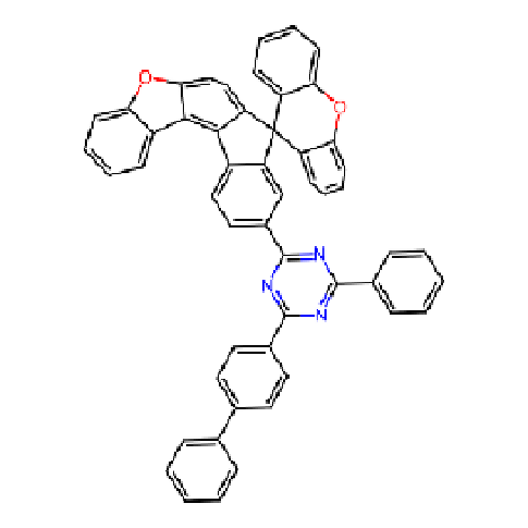 c1ccc(-c2ccc(-c3nc(-c4ccccc4)nc(-c4ccc5c(c4)C4(c6ccccc6Oc6ccccc64)c4ccc6oc7ccccc7c6c4-5)n3)cc2)cc1